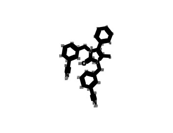 Cc1c(-c2ccccc2)n(Cc2cccc(C#N)c2)c(=O)n1Cc1cccc(C#N)c1